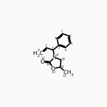 C=CC(c1ccccc1)N1CC(C)OC1=O